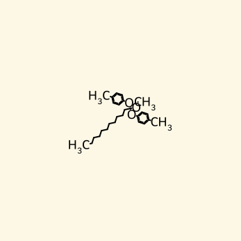 CCCCCCCCCCCC(OC)(Oc1ccc(C)cc1)Oc1ccc(C)cc1